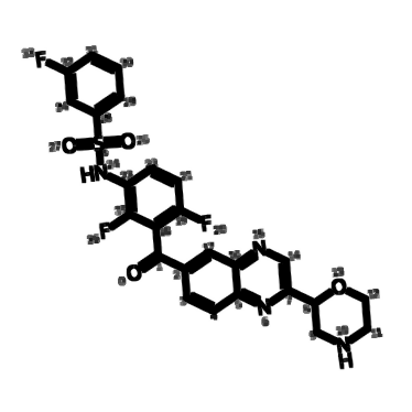 O=C(c1ccc2nc(C3CNCCO3)cnc2c1)c1c(F)ccc(NS(=O)(=O)c2cccc(F)c2)c1F